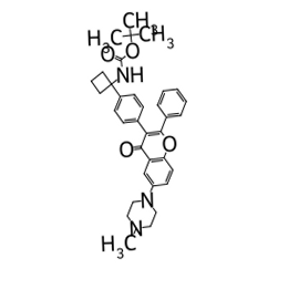 CN1CCN(c2ccc3oc(-c4ccccc4)c(-c4ccc(C5(NC(=O)OC(C)(C)C)CCC5)cc4)c(=O)c3c2)CC1